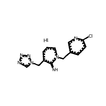 I.N=c1c(Cn2cnnn2)cccn1Cc1ccc(Cl)nc1